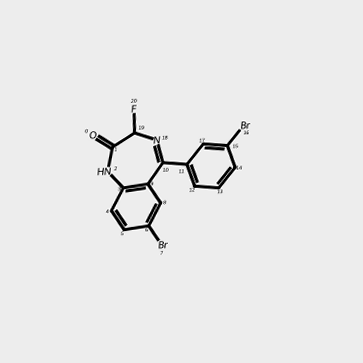 O=C1Nc2ccc(Br)cc2C(c2cccc(Br)c2)=NC1F